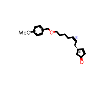 COc1ccc(COCCCC/C=C\C[C@@H]2C=CC(=O)C2)cc1